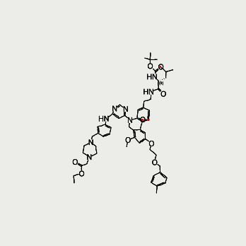 CCOC(=O)CN1CCN(Cc2cccc(Nc3cc(N(Cc4c(OC)cc(OCCOCc5ccc(C)cc5)cc4OC)c4cccc(CCNC(=O)[C@@H](CC(C)C)NC(=O)OC(C)(C)C)c4)ncn3)c2)CC1